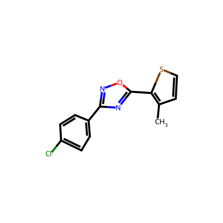 Cc1ccsc1-c1nc(-c2ccc(Cl)cc2)no1